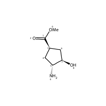 COC(=O)[C@@H]1C[C@@H](N)[C@H](O)C1